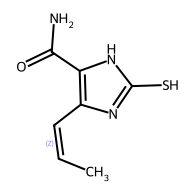 C/C=C\c1nc(S)[nH]c1C(N)=O